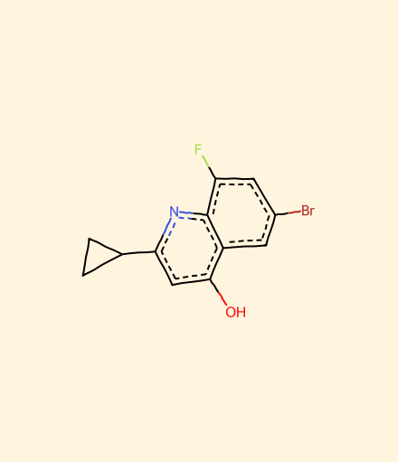 Oc1cc(C2CC2)nc2c(F)cc(Br)cc12